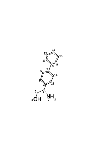 N[C@H](CO)c1ccc(-c2ccccc2)cc1